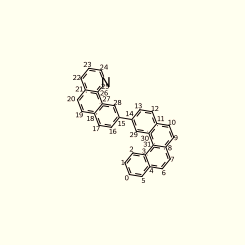 c1ccc2c(c1)ccc1ccc3ccc(-c4ccc5ccc6cccnc6c5c4)cc3c12